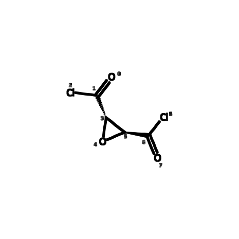 O=C(Cl)[C@H]1O[C@@H]1C(=O)Cl